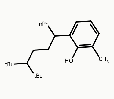 CCCC(CCC(C(C)(C)C)C(C)(C)C)c1cccc(C)c1O